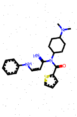 CN(C)C1CCC(N(C(=N)/C=C\Nc2ccccc2)C(=O)c2cccs2)CC1